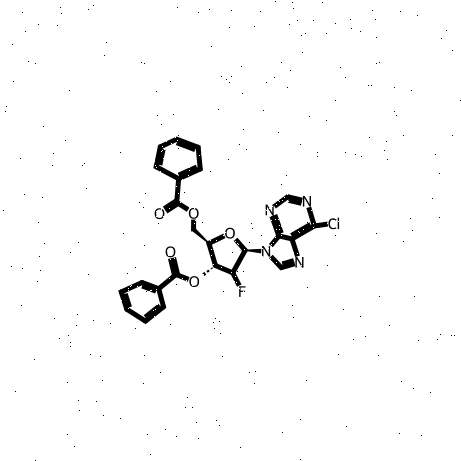 O=C(OC[C@H]1O[C@@H](n2cnc3c(Cl)ncnc32)C(F)[C@@H]1OC(=O)c1ccccc1)c1ccccc1